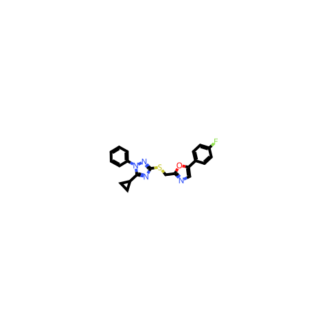 Fc1ccc(-c2cnc(CSc3nc(C4CC4)n(-c4ccccc4)n3)o2)cc1